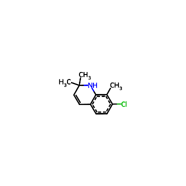 Cc1c(Cl)ccc2c1NC(C)(C)C=C2